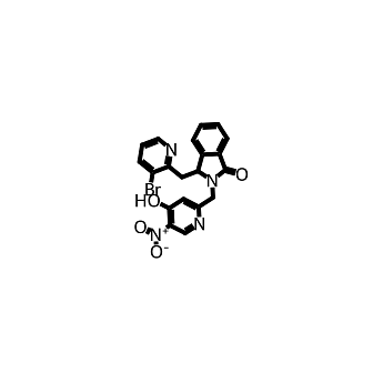 O=C1c2ccccc2C(Cc2ncccc2Br)N1Cc1cc(O)c([N+](=O)[O-])cn1